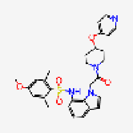 COc1cc(C)c(S(=O)(=O)Nc2cccc3ccn(CC(=O)N4CCC(Oc5ccncc5)CC4)c23)c(C)c1